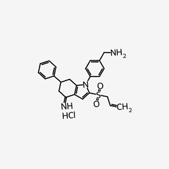 C=CCS(=O)(=O)c1cc2c(n1-c1ccc(CN)cc1)CC(c1ccccc1)CC2=N.Cl